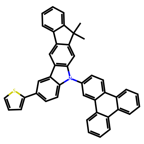 CC1(C)c2ccccc2-c2cc3c4cc(-c5cccs5)ccc4n(-c4ccc5c6ccccc6c6ccccc6c5c4)c3cc21